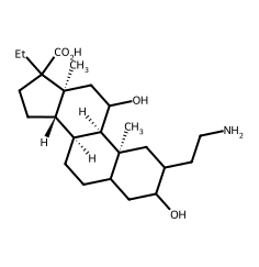 CCC1(C(=O)O)CC[C@H]2[C@@H]3CCC4CC(O)C(CCN)C[C@]4(C)[C@@H]3C(O)C[C@@]21C